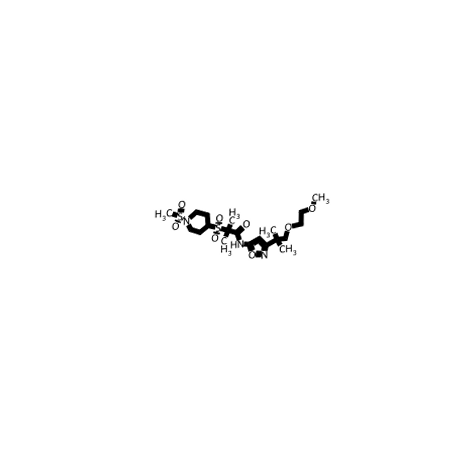 COCCOCC(C)(C)c1cc(NC(=O)C(C)(C)S(=O)(=O)C2CCN(S(C)(=O)=O)CC2)on1